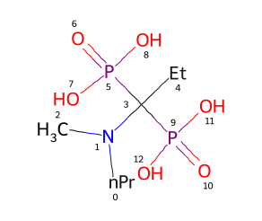 CCCN(C)C(CC)(P(=O)(O)O)P(=O)(O)O